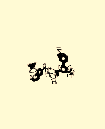 O=C(NC[C@@H](CO)c1cc2c(c(-c3ccc(F)cc3)n1)OC[C@H]2C(F)(F)F)c1cc(OC2CC2)c2ncccc2c1